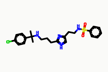 CC(C)(NCCCc1nc(CCNS(=O)(=O)c2ccccc2)c[nH]1)c1ccc(Cl)cc1